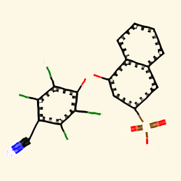 N#Cc1c(F)c(F)c(Oc2cc(S(=O)(=O)O)cc3ccccc23)c(F)c1F